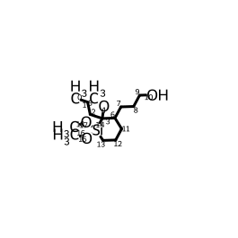 CCCC1(OC)C(CCCO)CCC[Si]1(OC)OC